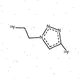 [18F]CCn1cc([18F])nn1